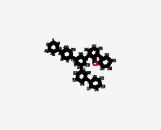 c1ccc(-c2ccc(-c3cc(-c4cccc(-c5ccccc5)c4)cc(-c4cccc5c4oc4ccccc45)c3)cc2)cc1